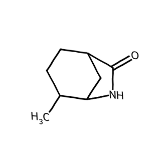 CC1CCC2CC1NC2=O